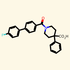 O=C(c1ccc(-c2ccc(F)cc2)cc1)N1CCC(C(=O)O)(c2ccccc2)CC1